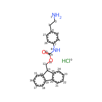 Cl.NCCc1ccc(NC(=O)OCC2c3ccccc3-c3ccccc32)cc1